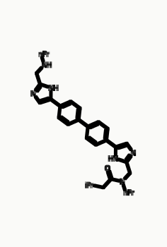 CCCNCc1ncc(-c2ccc(-c3ccc(-c4cnc(CN(CCC)C(=O)CC(C)C)[nH]4)cc3)cc2)[nH]1